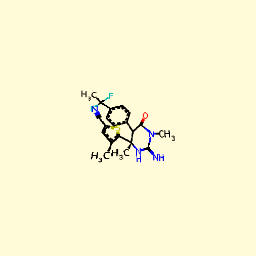 Cc1cc(C#N)sc1[C@@]1(C)NC(=N)N(C)C(=O)C1c1ccc(C(C)(F)F)cc1